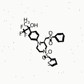 CC(O)(c1ccc(N2CCN(S(=O)(=O)c3cccs3)C[C@@H]2CS(=O)(=O)c2ccccc2)cc1)C(F)(F)F